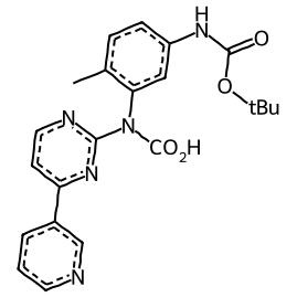 Cc1ccc(NC(=O)OC(C)(C)C)cc1N(C(=O)O)c1nccc(-c2cccnc2)n1